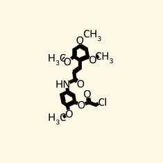 COc1cc(OC)c(/C=C/C(=O)Nc2ccc(OC)c(OC(=O)CCl)c2)c(OC)c1